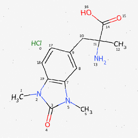 Cl.Cn1c(=O)n(C)c2cc(CC(C)(N)C(=O)O)ccc21